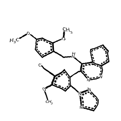 COc1ccc(CNc2c(-c3cc(Cl)c(OC)cc3-n3nccn3)nnc3ccccc23)c(OC)c1